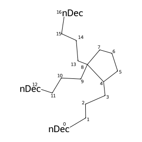 CCCCCCCCCCCCCC1CCCC1(CCCCCCCCCCCCC)CCCCCCCCCCCCC